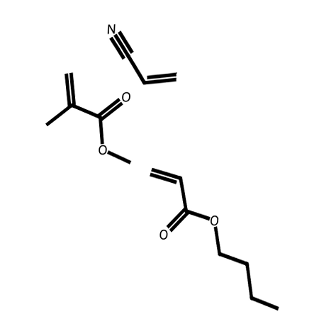 C=C(C)C(=O)OC.C=CC#N.C=CC(=O)OCCCC